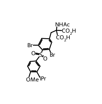 COc1ccc(S(=O)(=O)c2c(Br)cc(CC(NC(C)=O)(C(=O)O)C(=O)O)cc2Br)cc1C(C)C